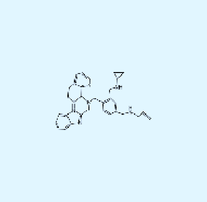 C=CCNCc1ccc(CN(Cc2nc3ccccc3[nH]2)C2CCCc3cccnc32)c(CNC2CC2)c1